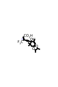 CC1=CC2(CC(C)(C)C1(O)C#C/C(=C\C(=O)O)C(F)(F)F)OC(C)C(C)O2